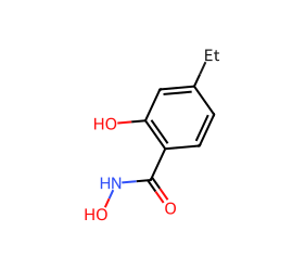 CCc1ccc(C(=O)NO)c(O)c1